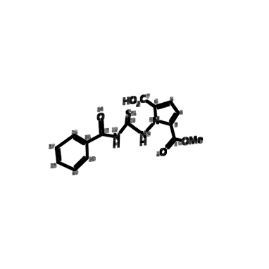 COC(=O)c1ccc(C(=O)O)n1NC(=S)NC(=O)c1ccccc1